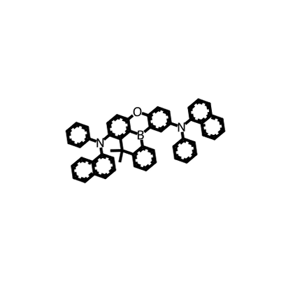 CC1(C)c2ccccc2B2c3cc(N(c4ccccc4)c4cccc5ccccc45)ccc3Oc3ccc(N(c4ccccc4)c4cccc5ccccc45)c1c32